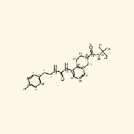 Cc1ccc(CCNC(=O)Nc2cccc3c2CCN(C(=O)OC(C)(C)C)C3)cc1